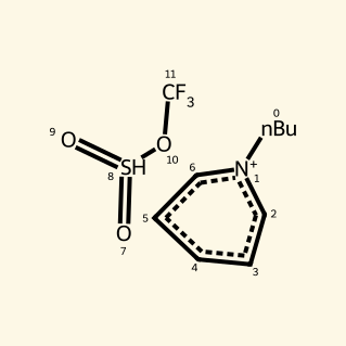 CCCC[n+]1ccccc1.O=[SH](=O)OC(F)(F)F